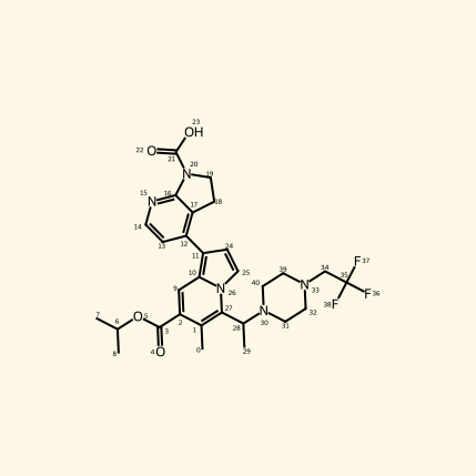 Cc1c(C(=O)OC(C)C)cc2c(-c3ccnc4c3CCN4C(=O)O)ccn2c1C(C)N1CCN(CC(F)(F)F)CC1